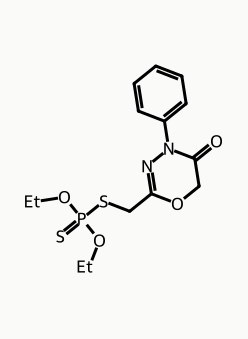 CCOP(=S)(OCC)SCC1=NN(c2ccccc2)C(=O)CO1